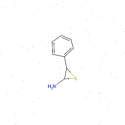 NC1SC1c1ccccc1